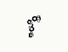 c1cnn(-c2ccc(CN3CCC[C@@H]3c3ccc4c(c3)OCCO4)nc2)c1